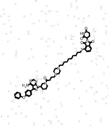 Nc1ncnc2c1c(-c1ccc(Oc3ccccc3)cc1)nn2C1CCCN(C(=O)CCCN2CCN(CCCCCCCCCCSc3cccc4c3C(=O)N(C3CCC(=O)NC3=O)C4=O)CC2)C1